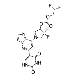 O=C(OCC(F)F)OC1CN(c2cc(-c3c[nH]c(=O)[nH]c3=O)nn3ccnc23)CC1(F)F